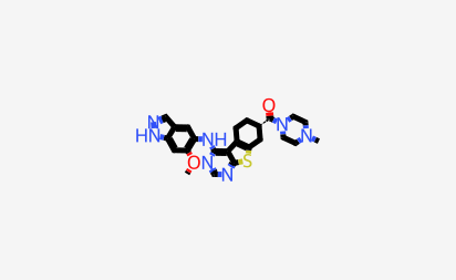 COc1cc2[nH]ncc2cc1Nc1ncnc2sc3c(c12)CC[C@H](C(=O)N1CCN(C)CC1)C3